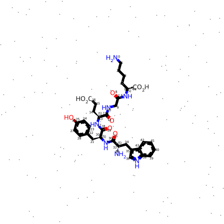 NCCCC[C@H](NC(=O)CNC(=O)[C@H](CCC(=O)O)NC(=O)[C@H](Cc1ccc(O)cc1)NC(=O)[C@@H](N)Cc1c[nH]c2ccccc12)C(=O)O